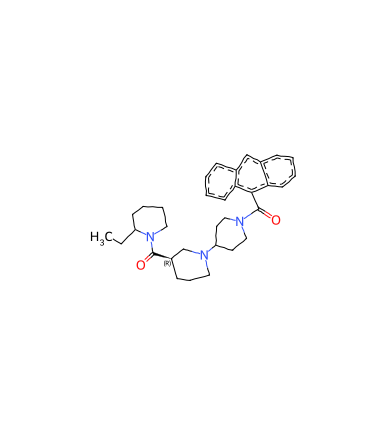 CCC1CCCCN1C(=O)[C@@H]1CCCN(C2CCN(C(=O)c3c4ccccc4cc4ccccc34)CC2)C1